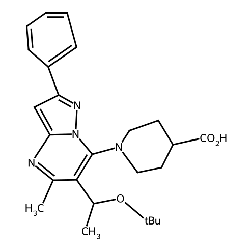 Cc1nc2cc(-c3ccccc3)nn2c(N2CCC(C(=O)O)CC2)c1C(C)OC(C)(C)C